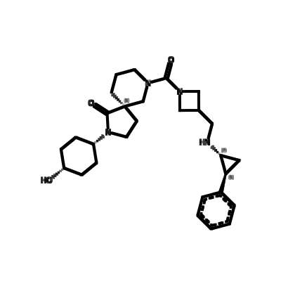 O=C(N1CC(CN[C@@H]2C[C@H]2c2ccccc2)C1)N1CCC[C@@]2(CCN([C@H]3CC[C@@H](O)CC3)C2=O)C1